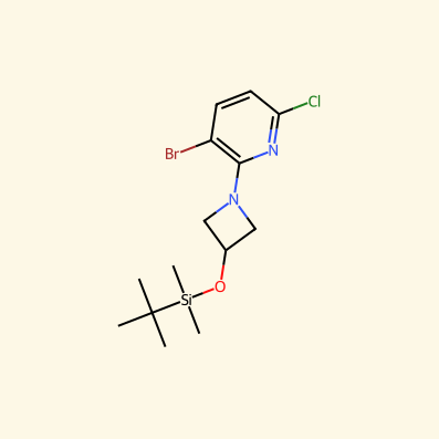 CC(C)(C)[Si](C)(C)OC1CN(c2nc(Cl)ccc2Br)C1